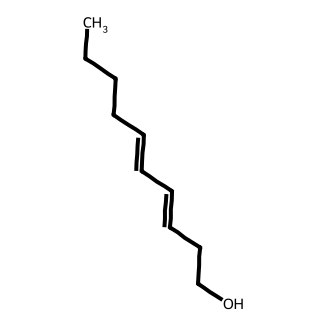 CCCC/C=C/C=C/CCO